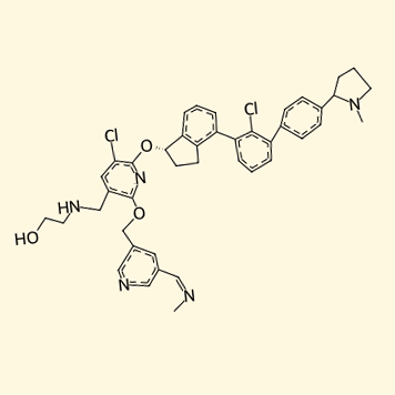 C/N=C\c1cncc(COc2nc(O[C@H]3CCc4c(-c5cccc(-c6ccc(C7CCCN7C)cc6)c5Cl)cccc43)c(Cl)cc2CNCCO)c1